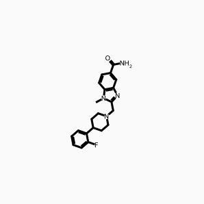 Cn1c(CN2CCC(c3ccccc3F)CC2)nc2cc(C(N)=O)ccc21